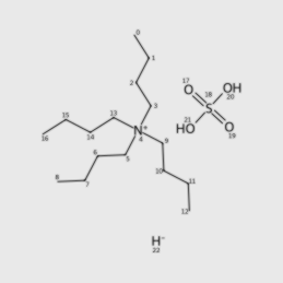 CCCC[N+](CCCC)(CCCC)CCCC.O=S(=O)(O)O.[H-]